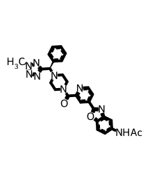 CC(=O)Nc1ccc2oc(-c3ccnc(C(=O)N4CCN([C@H](c5ccccc5)c5nnn(C)n5)CC4)c3)nc2c1